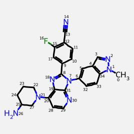 Cn1ncc2cc(-n3c(-c4ccc(C#N)c(F)c4)nc4c(N5CCCC(N)C5)ccnc43)ccc21